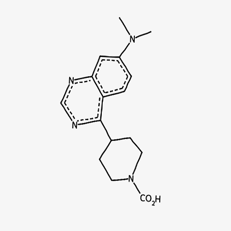 CN(C)c1ccc2c(C3CCN(C(=O)O)CC3)ncnc2c1